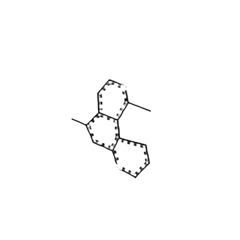 Cc1cc2ncccc2c2c(C)nccc12